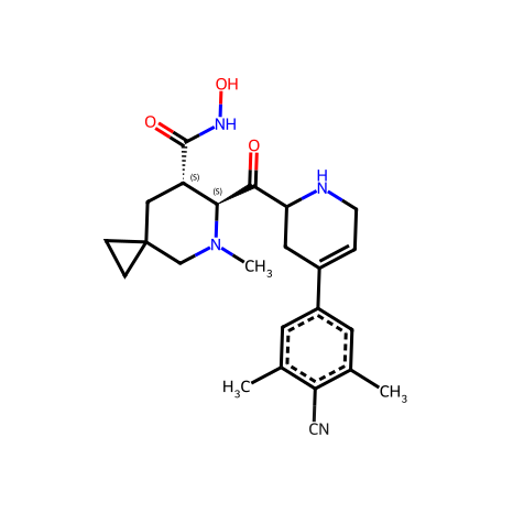 Cc1cc(C2=CCNC(C(=O)[C@@H]3[C@@H](C(=O)NO)CC4(CC4)CN3C)C2)cc(C)c1C#N